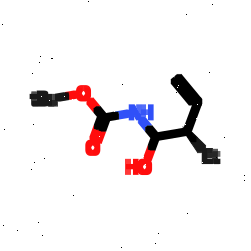 C=C[C@@H](CC)C(O)NC(=O)OC(C)(C)C